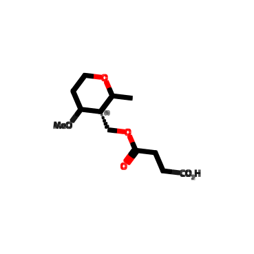 COC1CCOC(C)[C@@H]1COC(=O)CCC(=O)O